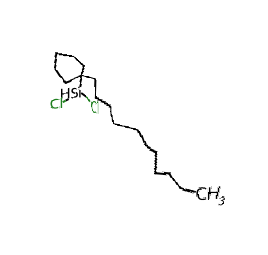 CCCCCCCCCCCC1([SiH](Cl)Cl)CCCCC1